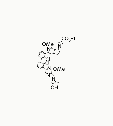 CCOC(=O)C1CN(C2CCc3cc(-c4cccc(-c5cccc(-c6cnc(CN7C[C@@H](O)[C@@H]7C)c(OC)n6)c5Cl)c4Cl)nc(OC)c32)C1